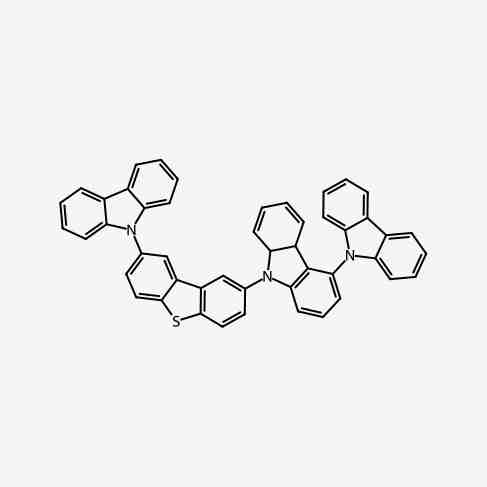 C1=CC2c3c(cccc3-n3c4ccccc4c4ccccc43)N(c3ccc4sc5ccc(-n6c7ccccc7c7ccccc76)cc5c4c3)C2C=C1